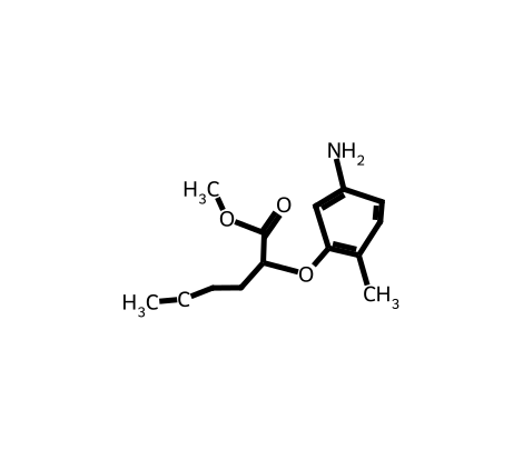 CCCCC(Oc1cc(N)ccc1C)C(=O)OC